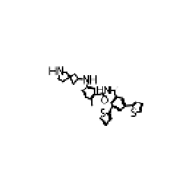 Cc1ccc(NC2CC3(CCNC3)C2)cc1C(=O)N[C@H](C)c1cc(-c2cccs2)cc(-c2cccs2)c1